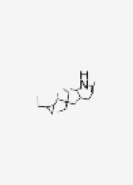 CCC1CC1C(C)C(CC)(CC)CC1CC=C(C)NC1C